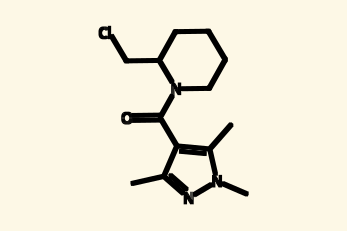 Cc1nn(C)c(C)c1C(=O)N1CCCCC1CCl